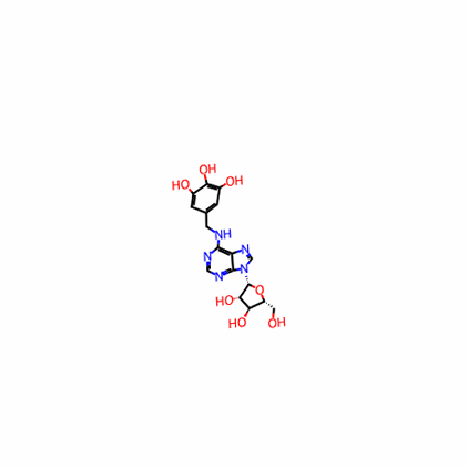 OC[C@H]1O[C@@H](n2cnc3c(NCc4cc(O)c(O)c(O)c4)ncnc32)[C@@H](O)[C@@H]1O